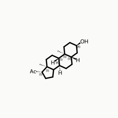 CC(=O)[C@H]1CCC2[C@@H]3CC[C@H]4C[C@H](O)CC[C@]4(C)[C@H]3CC[C@@]21C